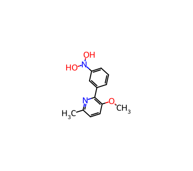 COc1ccc(C)nc1-c1cccc(N(O)O)c1